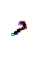 O=C1COc2cc(F)c(C(=O)N3CC(COc4ccc(-c5ccc(Cl)cn5)cc4F)C3)cc2N1